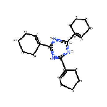 C1=C(c2nc(C3=CCCCC3)nc(C3=CCCCC3)n2)CCCC1